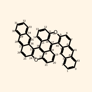 c1ccc2cc3c(ccc4oc5cccc6c5c(c5cccc7oc8ccc9cc%10ccccc%10cc9c8c6c75)c43)cc2c1